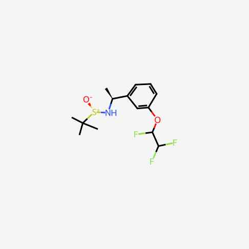 C[C@H](N[S@+]([O-])C(C)(C)C)c1cccc(OC(F)C(F)F)c1